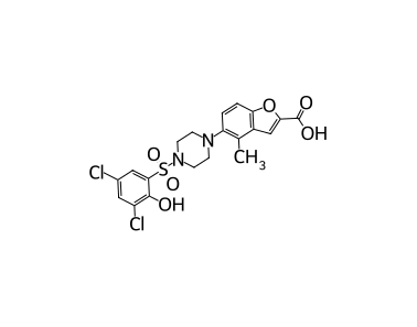 Cc1c(N2CCN(S(=O)(=O)c3cc(Cl)cc(Cl)c3O)CC2)ccc2oc(C(=O)O)cc12